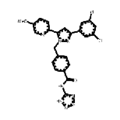 COc1ccc(-c2cc(-c3cc(Cl)cc(Cl)c3)nn2Cc2ccc(C(=O)Nc3nnn[nH]3)cc2)nc1